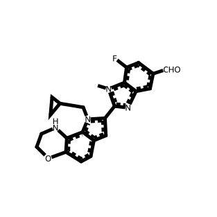 Cn1c(-c2cc3ccc4c(c3n2CC2CC2)NCCO4)nc2cc(C=O)cc(F)c21